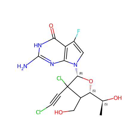 C[C@H](O)[C@H]1O[C@@H](n2cc(F)c3c(=O)[nH]c(N)nc32)C(Cl)(C#CCl)C1CO